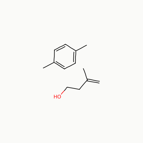 C=C(C)CCO.Cc1ccc(C)cc1